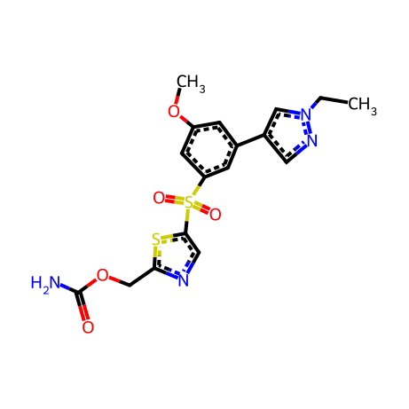 CCn1cc(-c2cc(OC)cc(S(=O)(=O)c3cnc(COC(N)=O)s3)c2)cn1